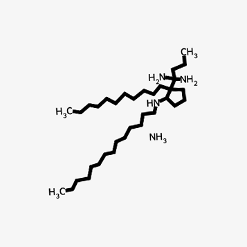 CCCCCCCCCCCCCCNC1CCCC1(CCCCCCCCCCC)C(N)(N)CCC.N